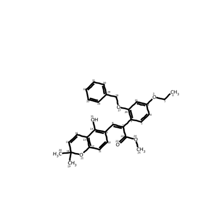 CCOc1ccc(C(=Cc2ccc3c(c2O)C=CC(C)(C)O3)C(=O)OC)c(OCc2ccccc2)c1